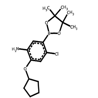 CC1(C)OB(c2cc(N)c(OC3CCCC3)cc2Cl)OC1(C)C